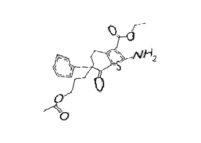 CCOC(=O)c1c(N)sc2c1CCC(CCCOC(C)=O)(c1ccccc1)C2=O